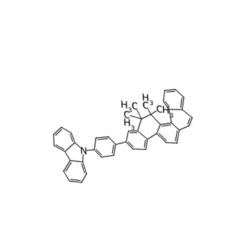 CC1(C)c2cc(-c3ccc(-n4c5ccccc5c5ccccc54)cc3)ccc2-c2ccc3ccc4ccccc4c3c2C1(C)C